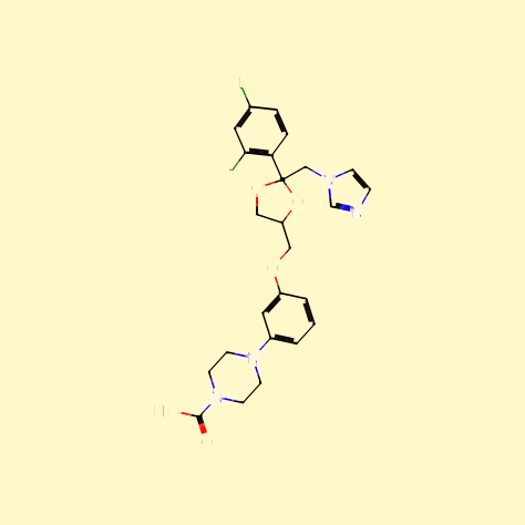 O=C(O)N1CCN(c2cccc(OCC3COC(Cn4ccnc4)(c4ccc(Cl)cc4Cl)O3)c2)CC1